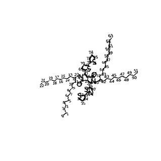 CCCCCCCCCCCCC(CCCCCCCCCC)CN1C(=O)C2=C(c3cnc(-c4cccs4)s3)N(CC(CCCCCCCCCC)CCCCCCCCCCCC)C(=O)C2=C1c1ccc(-c2cccs2)s1